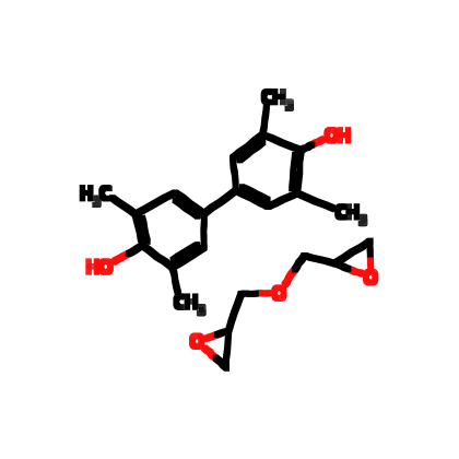 C(OCC1CO1)C1CO1.Cc1cc(-c2cc(C)c(O)c(C)c2)cc(C)c1O